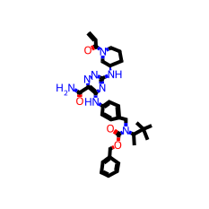 C=CC(=O)N1CCC[C@@H](Nc2nnc(C(N)=O)c(Nc3ccc(CN(C(=O)OCc4ccccc4)C(C)C(C)(C)C)cc3)n2)C1